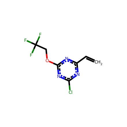 C=Cc1nc(Cl)nc(OCC(F)(F)F)n1